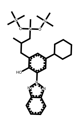 CC(Cc1cc(C2CCCCC2)cc(-n2nc3ccccc3n2)c1O)C[Si](C)(O[Si](C)(C)C)O[Si](C)(C)C